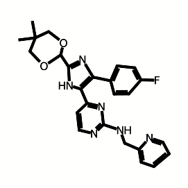 CC1(C)COC(c2nc(-c3ccc(F)cc3)c(-c3ccnc(NCc4ccccn4)n3)[nH]2)OC1